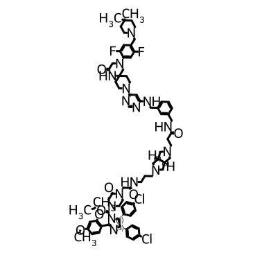 COc1ccc(C2=N[C@@H](c3ccc(Cl)cc3)[C@@H](c3ccc(Cl)cc3)N2C(=O)N2CCN(CC(=O)NCCCN3C[C@@H]4CN(CCC(=O)NCc5cccc(CNc6cc(N7CCC8(CC7)CN(c7cc(F)c(CN9CCC(C)(C)CC9)cc7F)CC(=O)N8)ncn6)c5)C[C@@H]4C3)C(=O)C2)c(OC(C)C)c1